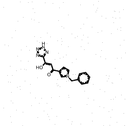 O=C(C=C(O)c1nn[nH]n1)c1ccn(Cc2ccccc2)c1